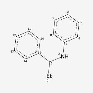 CCC(Nc1cc[c]cc1)c1ccccc1